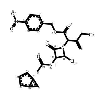 C=C(CCl)C(C(=O)OCc1ccc([N+](=O)[O-])cc1)N1C(=O)C(NC(C)=O)C1Cl.c1cc2cc-2c1